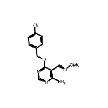 CON=Cc1c(N)ncnc1OCc1ccc(C#N)cc1